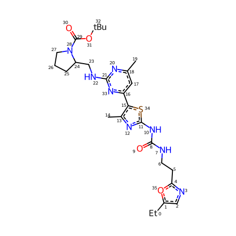 CCc1cnc(CCNC(=O)Nc2nc(C)c(-c3cc(C)nc(NCC4CCCN4C(=O)OC(C)(C)C)n3)s2)o1